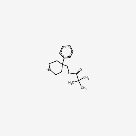 CC(C)(C)C(=O)OCC1(c2ccccc2)CCNCC1